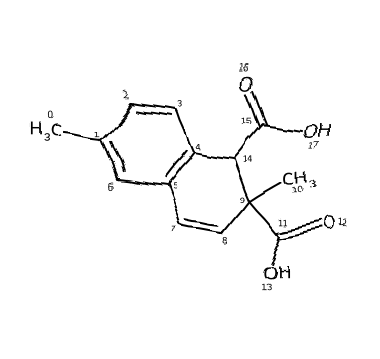 Cc1ccc2c(c1)C=CC(C)(C(=O)O)C2C(=O)O